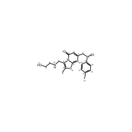 CCN(Cc1cc(=O)n2c(CNCCO)c(C)sc2n1)c1ccc(F)cc1